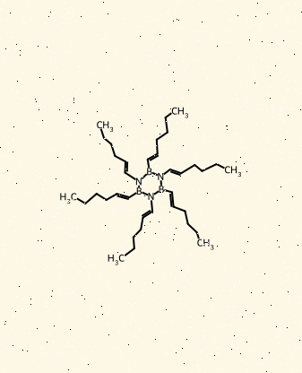 CCCC/C=C/B1N(/C=C/CCCC)B(/C=C/CCCC)N(/C=C/CCCC)B(/C=C/CCCC)N1/C=C/CCCC